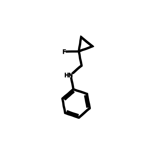 FC1(CNc2ccccc2)CC1